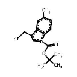 Cc1ccc2c(c1)c(CCl)cn2C(=O)OC(C)(C)C